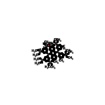 CC[SiH](CC)c1cc(N(c2cc([SiH](CC)CC)cc([Si](CC)(CC)CC)c2)c2c3ccccc3c(N(c3cc(C)cc([Si](CC)(CC)CC)c3)c3cc(C)cc([Si](CC)(CC)CC)c3)c3ccc(C(C)(C)C)cc23)cc([SiH](CC)CC)c1